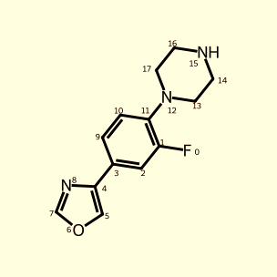 Fc1cc(-c2cocn2)ccc1N1CCNCC1